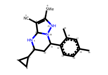 CSC1=C(C#N)C2NC(C3CC3)CC(c3ccc(C)cc3C)N2N1